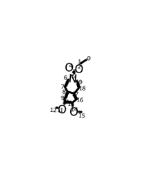 CCOC(=O)N1C=Cc2cc(OC)c(OC)cc2C=C1